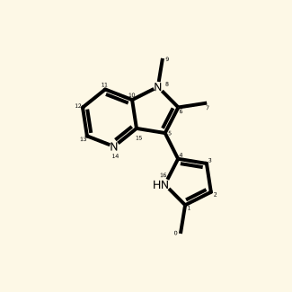 Cc1ccc(-c2c(C)n(C)c3cccnc23)[nH]1